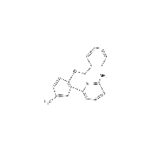 Cc1ccc(OCc2ccccc2)c(-c2cccc(N)n2)c1